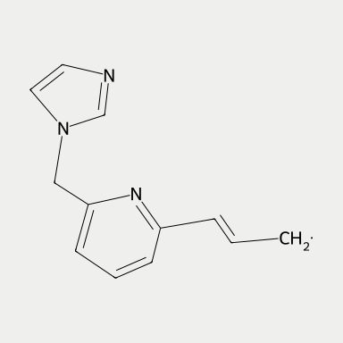 [CH2]/C=C/c1cccc(Cn2ccnc2)n1